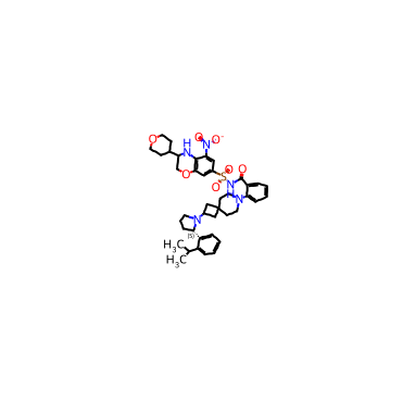 CC(C)c1ccccc1[C@@H]1CCCN1C1CC2(CCN(c3ccccc3C(=O)NS(=O)(=O)c3cc4c(c([N+](=O)[O-])c3)NC(C3CCOCC3)CO4)CC2)C1